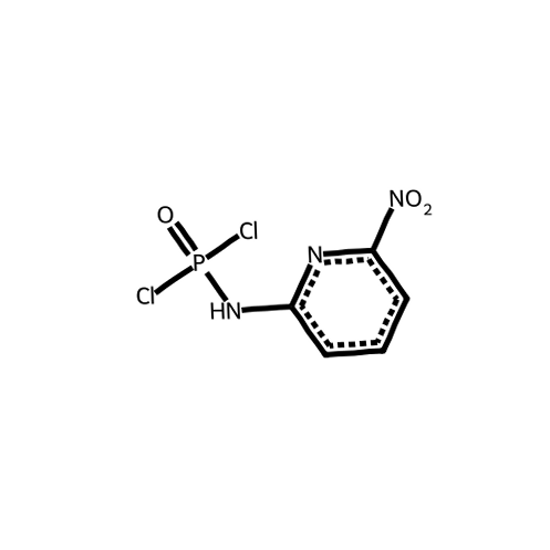 O=[N+]([O-])c1cccc(NP(=O)(Cl)Cl)n1